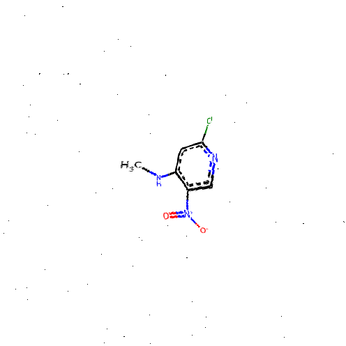 CNc1cc(Cl)ncc1[N+](=O)[O-]